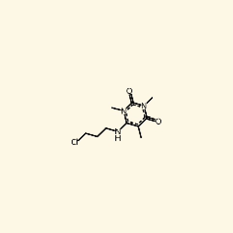 Cc1c(NCCCCl)n(C)c(=O)n(C)c1=O